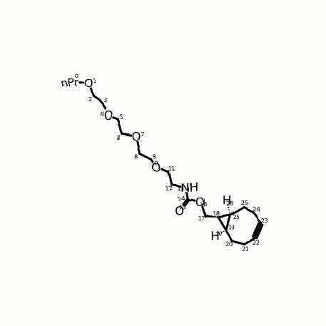 CCCOCCOCCOCCOCCNC(=O)OC[C@@H]1[C@@H]2CCC#CCC[C@@H]21